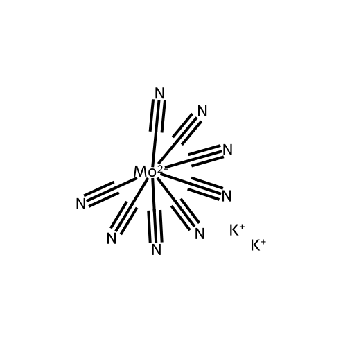 N#[C][Mo-2]([C]#N)([C]#N)([C]#N)([C]#N)([C]#N)([C]#N)[C]#N.[K+].[K+]